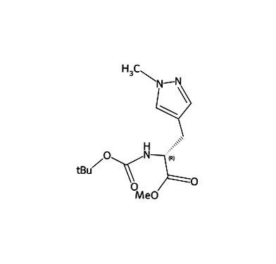 COC(=O)[C@@H](Cc1cnn(C)c1)NC(=O)OC(C)(C)C